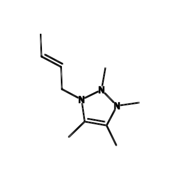 CC=CCN1C(C)=C(C)N(C)N1C